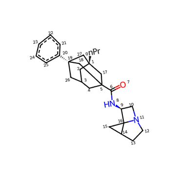 CCC[C@]12CC3CC(C(=O)N[C@H]4CN5CCC6CC645)(C1)C[C@@](c1ccccc1)(C3)C2